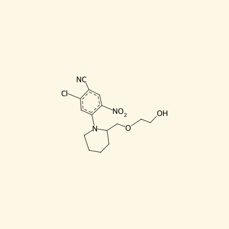 N#Cc1cc([N+](=O)[O-])c(N2CCCCC2COCCO)cc1Cl